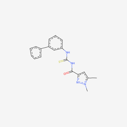 Cc1cc(C(=O)NC(=S)Nc2cccc(-c3ccccc3)c2)nn1C